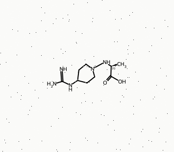 C[C@H](NN1CCC(NC(=N)N)CC1)C(=O)O